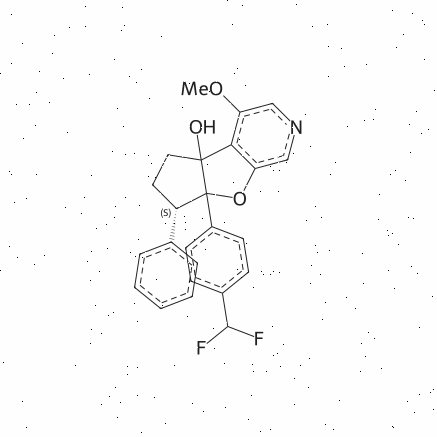 COc1cncc2c1C1(O)CC[C@@H](c3ccccc3)C1(c1ccc(C(F)F)cc1)O2